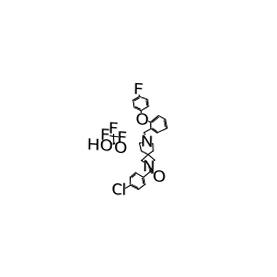 O=C(O)C(F)(F)F.O=C(c1ccc(Cl)cc1)N1CC2(CCN(Cc3ccccc3Oc3ccc(F)cc3)CC2)C1